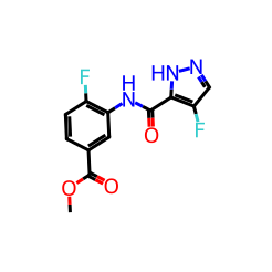 COC(=O)c1ccc(F)c(NC(=O)c2[nH]ncc2F)c1